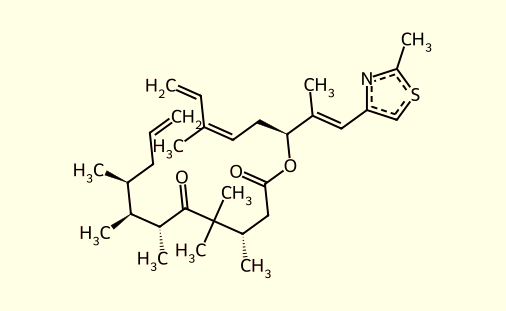 C=CC[C@H](C)[C@H](C)[C@@H](C)C(=O)C(C)(C)[C@@H](C)CC(=O)O[C@@H](C/C=C(/C)C=C)/C(C)=C/c1csc(C)n1